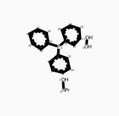 CCCO.OO.c1ccc(P(c2ccccc2)c2ccccc2)cc1